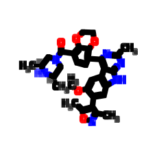 COc1cc2c(cc1-c1c(C)noc1C)[nH]c1nc(C)nc(-c3ccc(C(=O)N4C[C@@H](C)N[C@@H](C)C4)c4c3OCCO4)c12